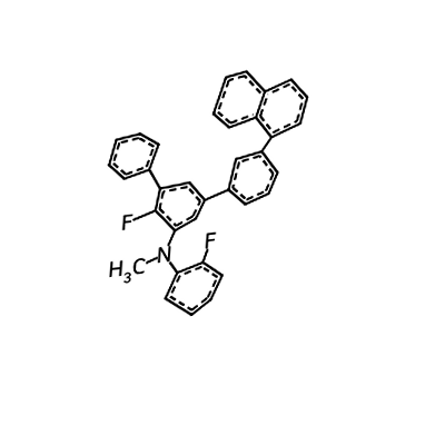 CN(c1ccccc1F)c1cc(-c2cccc(-c3cccc4ccccc34)c2)cc(-c2ccccc2)c1F